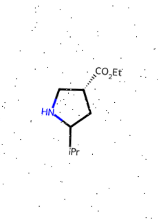 CCOC(=O)[C@H]1CNC(C(C)C)C1